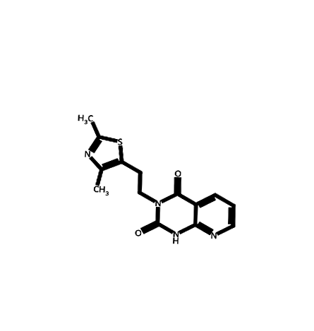 Cc1nc(C)c(CCn2c(=O)[nH]c3ncccc3c2=O)s1